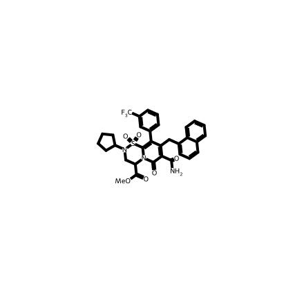 COC(=O)C1CN(C2CCCC2)S(=O)(=O)c2c(-c3cccc(C(F)(F)F)c3)c(Cc3cccc4ccccc34)c(C(N)=O)c(=O)n21